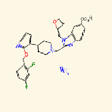 N.O=C(O)c1ccc2nc(CN3CCC(c4cccnc4OCc4ccc(F)cc4F)CC3)n(C[C@@H]3CCO3)c2c1